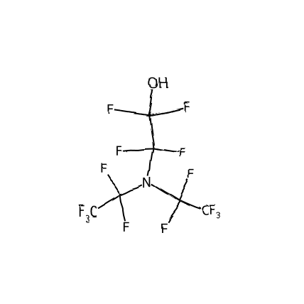 OC(F)(F)C(F)(F)N(C(F)(F)C(F)(F)F)C(F)(F)C(F)(F)F